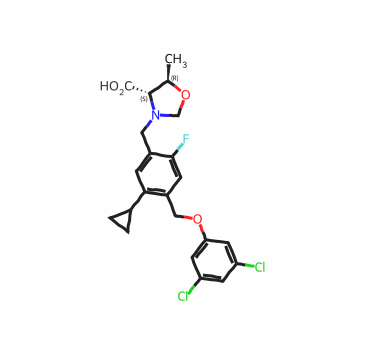 C[C@H]1OCN(Cc2cc(C3CC3)c(COc3cc(Cl)cc(Cl)c3)cc2F)[C@@H]1C(=O)O